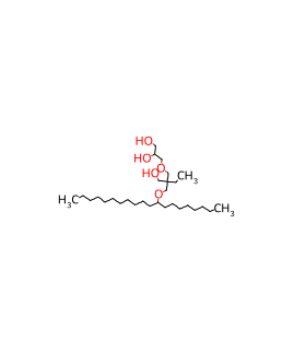 CCCCCCCCCCCC(CCCCCCCC)OCC(CC)(CO)COCC(O)CO